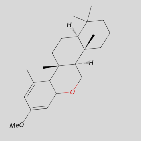 COC1=CC2OC[C@@H]3[C@@]4(C)CCCC(C)(C)[C@@H]4CC[C@@]3(C)C2C(C)=C1